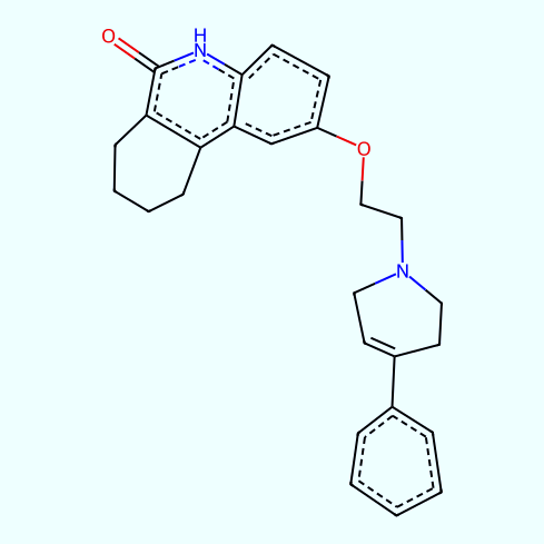 O=c1[nH]c2ccc(OCCN3CC=C(c4ccccc4)CC3)cc2c2c1CCCC2